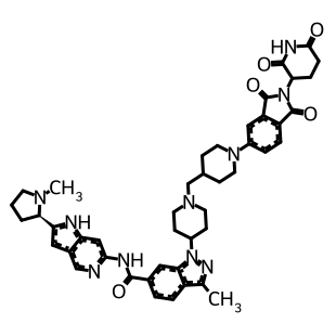 Cc1nn(C2CCN(CC3CCN(c4ccc5c(c4)C(=O)N(C4CCC(=O)NC4=O)C5=O)CC3)CC2)c2cc(C(=O)Nc3cc4[nH]c([C@H]5CCCN5C)cc4cn3)ccc12